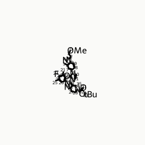 COCCn1ncc2cc(-n3ccn(-c4c5c(nn4-c4cc(C)c(F)c(C)c4)CCN(C(=O)OC(C)(C)C)[C@H]5C)c3=O)ccc21